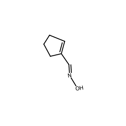 ON=CC1=CCCC1